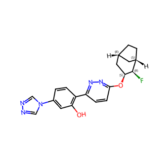 Oc1cc(-n2cnnc2)ccc1-c1ccc(O[C@H]2C[C@@H]3CC[C@@H](C3)[C@H]2F)nn1